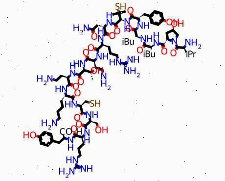 CC[C@H](C)[C@H](NC(=O)[C@@H](NC(=O)[C@@H]1C[C@@H](O)CN1C(=O)[C@@H](N)C(C)C)[C@@H](C)CC)C(=O)N[C@@H](Cc1ccc(O)cc1)C(=O)N[C@H](C(=O)N[C@@H](CC(N)=O)C(=O)N[C@@H](CCCNC(=N)N)C(=O)N[C@@H](CCN)C(=O)N[C@H](C(=O)N[C@H](CCN)C(=O)N[C@@H](CCCCN)C(=O)N[C@@H](CS)C(=O)N[C@@H](CO)C(=O)N[C@@H](CCCNC(=N)N)C(=O)N[C@@H](Cc1ccc(O)cc1)C(=O)O)[C@@H](C)O)C(C)(C)S